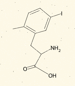 Cc1ccc(I)cc1CC(N)C(=O)O